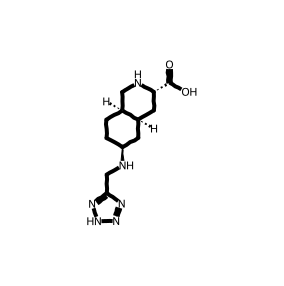 O=C(O)[C@@H]1C[C@H]2C[C@@H](NCc3nn[nH]n3)CC[C@H]2CN1